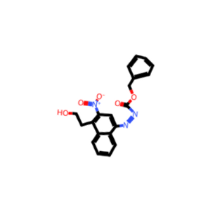 O=C(/N=N\c1cc([N+](=O)[O-])c(CCO)c2ccccc12)OCc1ccccc1